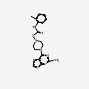 Cc1ccccc1NC(=O)ON1CCN(c2nc(N)nc3scnc23)CC1